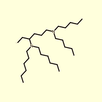 [CH2]CC(CCCN(CCCCC)CCCCC)N(CCCCCC)CCCCCC